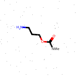 CNC(=O)OCCCN